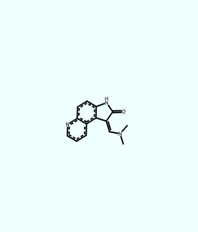 CN(C)C=C1C(=O)Nc2ccc3ncccc3c21